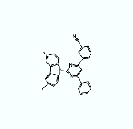 Cc1ccc2c(c1)c1cc(C)ccc1n2-c1nc(-c2ccccc2)cc(-c2cccc(C#N)c2)n1